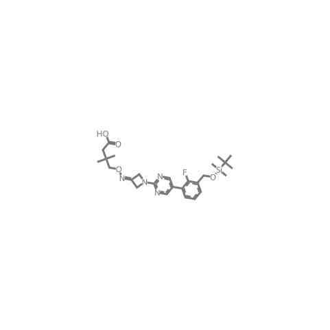 CC(C)(CON=C1CN(c2ncc(-c3cccc(CO[Si](C)(C)C(C)(C)C)c3F)cn2)C1)CC(=O)O